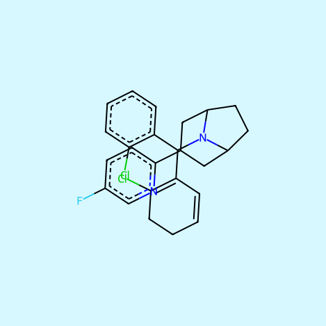 Fc1ccc(C2CC3CCC(C2)N3C(C2=C(Cl)CCC=C2)c2ccccc2Cl)nc1